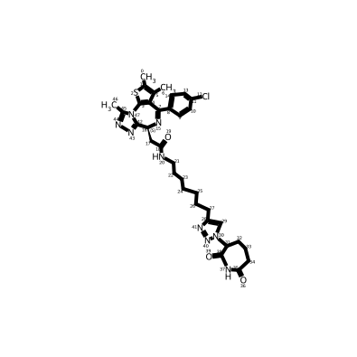 Cc1sc2c(c1C)C(c1ccc(Cl)cc1)=N[C@@H](CC(=O)NCCCCCCCc1cn(C3CCCC(=O)NC3=O)nn1)c1nnc(C)n1-2